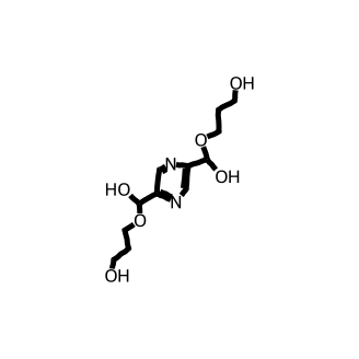 OCCCOC(O)c1cnc(C(O)OCCCO)cn1